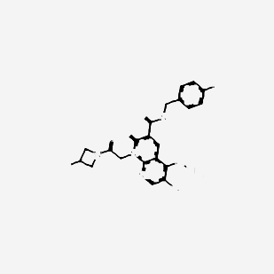 COc1c(Br)cnc2c1cc(C(=O)NCc1ccc(Cl)cc1)c(=O)n2CC(=O)N1CC(C)C1